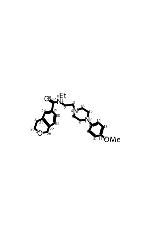 CCN(CCN1CCN(c2ccc(OC)cc2)CC1)C(=O)c1ccc2c(c1)CCOC2